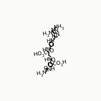 NCC(=O)Nc1ccc(C(=O)NCCC[C@H](NC(=O)c2ccc(NCc3cnc4nc(N)nc(N)c4n3)cc2)C(=O)O)c(C(=O)O)c1